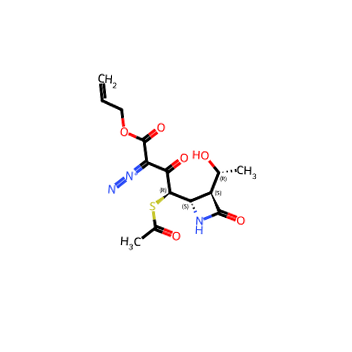 C=CCOC(=O)C(=[N+]=[N-])C(=O)[C@H](SC(C)=O)[C@H]1NC(=O)[C@@H]1[C@@H](C)O